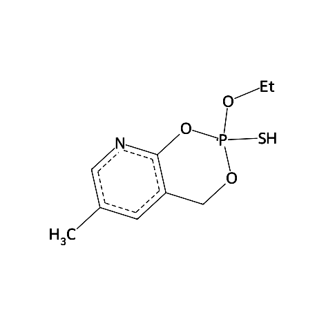 CCO[P]1(S)OCc2cc(C)cnc2O1